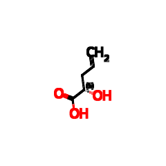 C=CC[C@H](O)C(=O)O